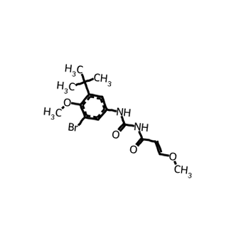 COC=CC(=O)NC(=O)Nc1cc(Br)c(OC)c(C(C)(C)C)c1